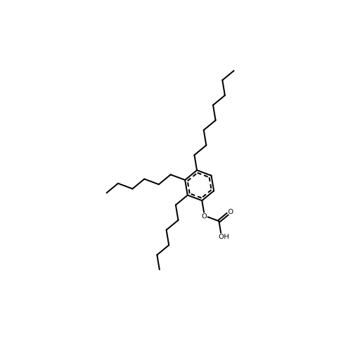 CCCCCCCCc1ccc(OC(=O)O)c(CCCCCC)c1CCCCCC